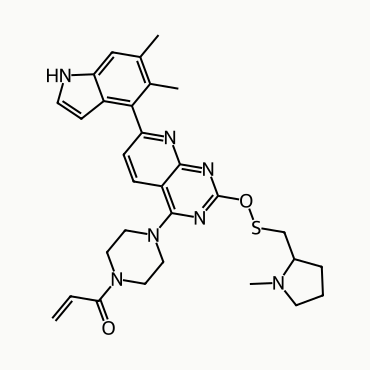 C=CC(=O)N1CCN(c2nc(OSCC3CCCN3C)nc3nc(-c4c(C)c(C)cc5[nH]ccc45)ccc23)CC1